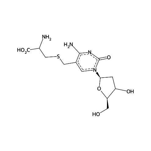 Nc1nc(=O)n([C@H]2CC(O)[C@@H](CO)O2)cc1CSCC(N)C(=O)O